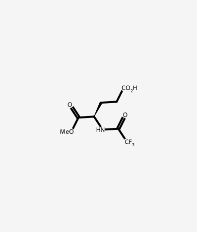 COC(=O)[C@@H](CCC(=O)O)NC(=O)C(F)(F)F